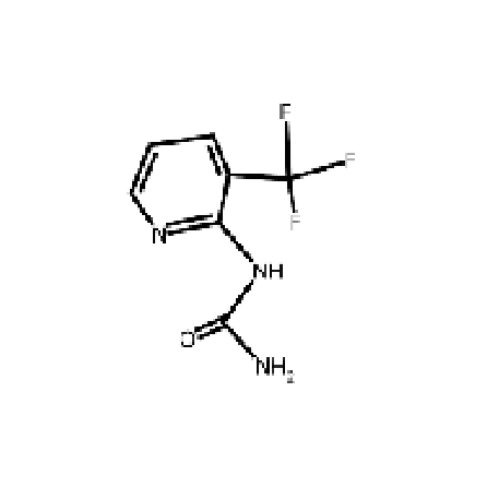 NC(=O)Nc1ncccc1C(F)(F)F